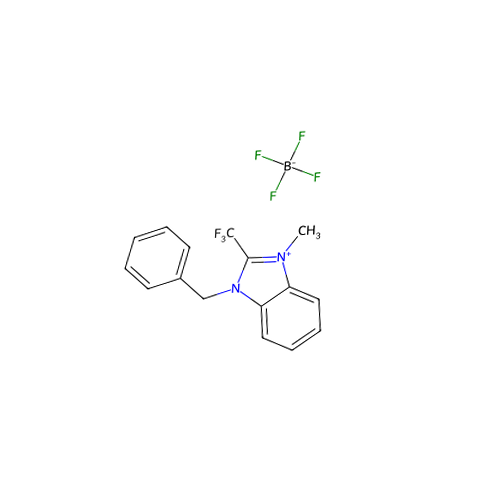 C[n+]1c(C(F)(F)F)n(Cc2ccccc2)c2ccccc21.F[B-](F)(F)F